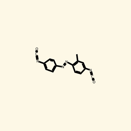 Cc1cc(N=C=O)ccc1N=Nc1ccc(N=C=O)cc1